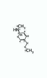 CCCC1=CC[C@@H](NC)C=C1